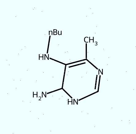 CCCCNC1=C(C)N=CNC1N